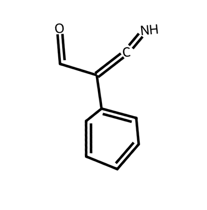 N=C=C(C=O)c1ccccc1